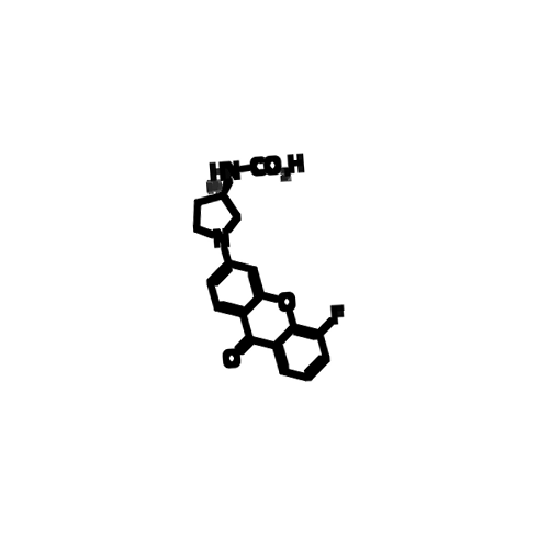 O=C(O)N[C@@H]1CCN(c2ccc3c(=O)c4cccc(F)c4oc3c2)C1